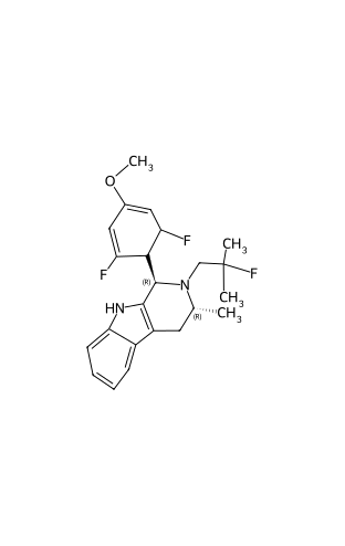 COC1=CC(F)C([C@@H]2c3[nH]c4ccccc4c3C[C@@H](C)N2CC(C)(C)F)C(F)=C1